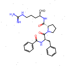 N=C(N)NCCC[C@@H](C=O)NC(=O)[C@@H]1CCCN1C(=O)[C@@H](Cc1ccccc1)NC(=O)c1ccccc1